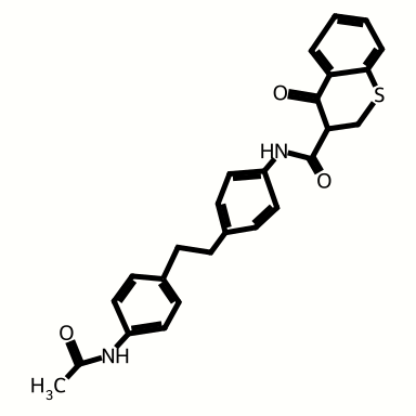 CC(=O)Nc1ccc(CCc2ccc(NC(=O)C3CSc4ccccc4C3=O)cc2)cc1